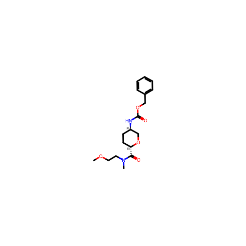 COCCN(C)C(=O)[C@@H]1CC[C@@H](NC(=O)OCc2ccccc2)CO1